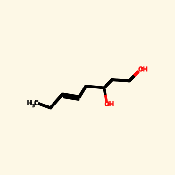 CC/C=C/CC(O)CCO